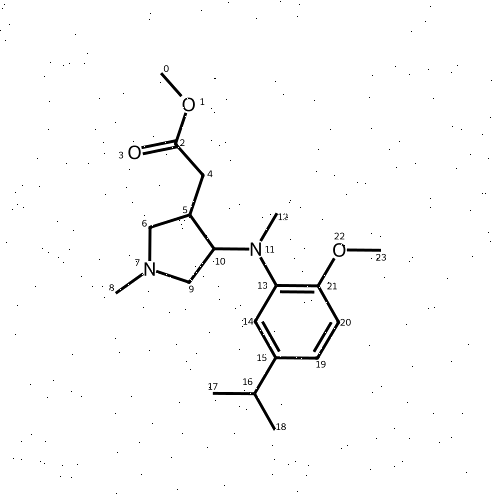 COC(=O)CC1CN(C)CC1N(C)c1cc(C(C)C)ccc1OC